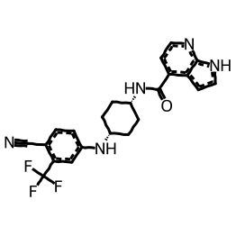 N#Cc1ccc(N[C@H]2CC[C@@H](NC(=O)c3ccnc4[nH]ccc34)CC2)cc1C(F)(F)F